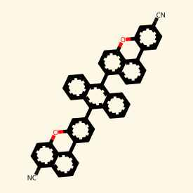 N#Cc1ccc2c(c1)Oc1ccc(-c3c4ccccc4c(-c4ccc5c(c4)Oc4ccc(C#N)c6cccc-5c46)c4ccccc34)c3cccc-2c13